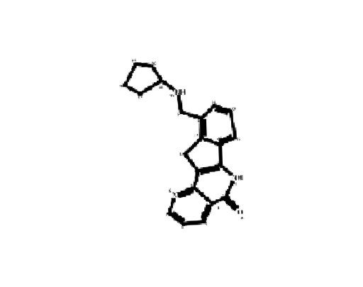 O=c1[nH]c2c(c3ncccc13)Cc1c(CNC3CCCC3)cccc1-2